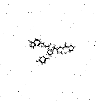 Cc1ccc(C[C@@H]2C[C@@H](C(=O)NCc3ccc4c(c3)nnn4C)N(C(=O)[C@H](N)CCC(=O)N3CCC[C@H]3C#N)C2)cc1